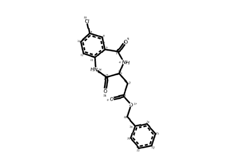 O=C(CC1NC(=O)c2cc(Cl)ccc2NC1=O)OCc1ccccc1